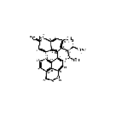 CC(=O)OC[C@@H](OC(C)(C)C)c1c(C)cc2[nH]c(=O)ccc2c1-c1ccc2c3c(ccnc13)CCO2